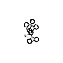 N#Cc1cc(C#N)c(-n2c3ccccc3c3ccccc32)cc1-c1ccccc1[Si](c1ccccc1)(c1ccccc1)c1ccccc1